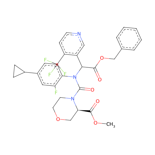 COC(=O)[C@H]1COCCN1C(=O)N(c1ccc(C2CC2)cc1F)C(C(=O)OCc1ccccc1)c1cnccc1C(F)(F)F